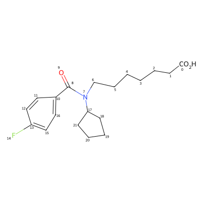 O=C(O)CCCCCCN(C(=O)c1ccc(F)cc1)C1CCCC1